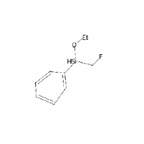 CCO[SiH](CF)c1ccccc1